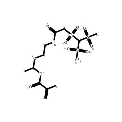 C=C(C)C(=O)OC(C)OCCOC(=O)CS(=O)(=O)C(S(C)(=O)=O)S(=O)(=O)C(F)(F)F